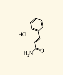 Cl.NC(=O)C=Cc1ccccc1